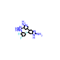 Nc1nc2cc(-c3cnc(N)c(C4=NNNN4c4cccc(F)c4F)c3)c(F)cc2[nH]1